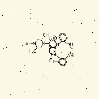 CC(=O)N1C[C@H](C)N(c2nc(=O)n3c4nc(c(F)cc24)-c2c(F)cccc2NCCNc2cccc(C(C)C)c2-3)C[C@H]1C